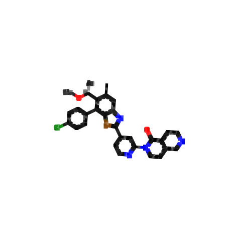 CC(=O)[C@@H](OC(C)(C)C)c1c(C)cc2nc(-c3ccnc(-n4ccc5cnccc5c4=O)c3)sc2c1-c1ccc(Cl)cc1